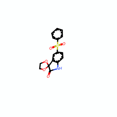 O=C1Nc2ccc(S(=O)(=O)c3ccccc3)cc2C12OCCO2